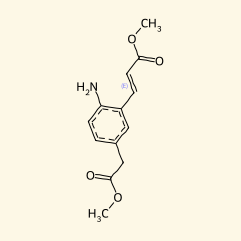 COC(=O)/C=C/c1cc(CC(=O)OC)ccc1N